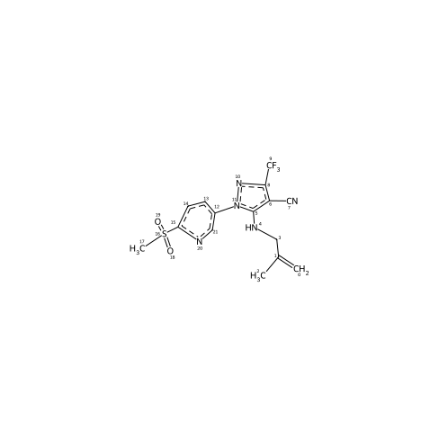 C=C(C)CNc1c(C#N)c(C(F)(F)F)nn1-c1ccc(S(C)(=O)=O)nc1